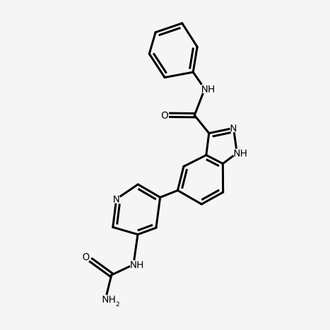 NC(=O)Nc1cncc(-c2ccc3[nH]nc(C(=O)Nc4ccccc4)c3c2)c1